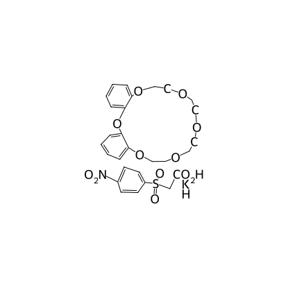 O=C(O)CS(=O)(=O)c1ccc([N+](=O)[O-])cc1.[KH].c1ccc2c(c1)OCCOCCOCCOCCOc1ccccc1O2